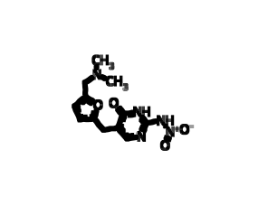 CN(C)Cc1ccc(Cc2cnc(N[N+](=O)[O-])[nH]c2=O)o1